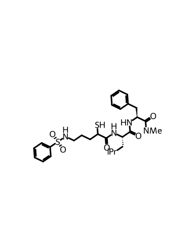 CNC(=O)[C@H](Cc1ccccc1)NC(=O)[C@H](CC(C)C)NC(=O)C(S)CCCNS(=O)(=O)c1ccccc1